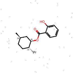 CC(C)[C@@H]1CC[C@@H](C)C[C@H]1OC(=O)c1ccccc1O